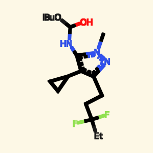 CCC(F)(F)CCc1nn(C)c(NC(O)OCC(C)C)c1C1CC1